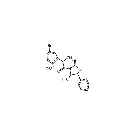 COc1ccc(Br)cc1C(C)C(=O)N1C(=O)O[C@@H](c2ccccc2)[C@H]1C